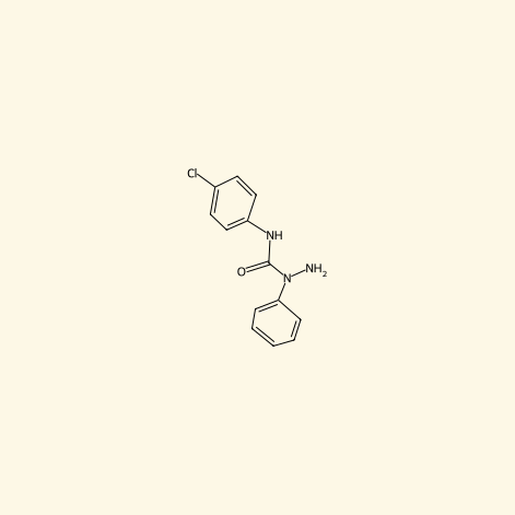 NN(C(=O)Nc1ccc(Cl)cc1)c1ccccc1